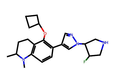 CC1CCc2c(ccc(-c3cnn(C4CNCC4F)c3)c2OC2CCC2)N1C